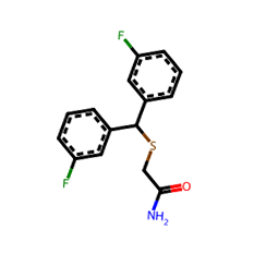 NC(=O)CSC(c1cccc(F)c1)c1cccc(F)c1